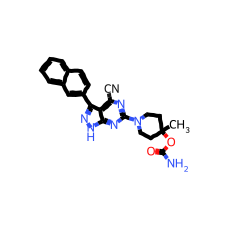 CC1(OC(N)=O)CCN(c2nc(C#N)c3c(-c4ccc5ccccc5c4)n[nH]c3n2)CC1